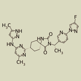 Cc1cc(Nc2cc(C)[nH]n2)nc([C@H]2CC[C@]3(CC2)NC(=O)N([C@@H](C)c2ccc(-n4cc(F)cn4)nc2)C3=O)n1